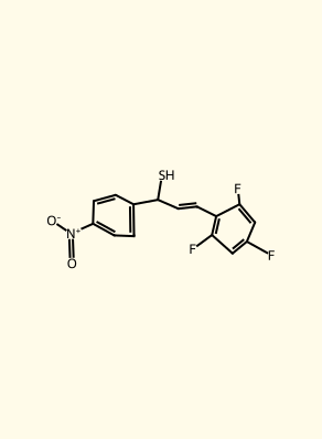 O=[N+]([O-])c1ccc(C(S)C=Cc2c(F)cc(F)cc2F)cc1